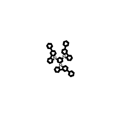 c1ccc(-c2ccc3c(c2)c2ccccc2n3-c2cc(-n3c4ccccc4c4cc(-c5ccccc5)ccc43)cc(-n3c4ccccc4c4cc(-c5ccccc5)ccc43)c2)cc1